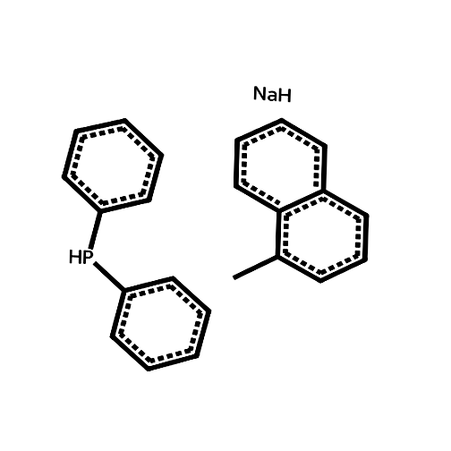 Cc1cccc2ccccc12.[NaH].c1ccc(Pc2ccccc2)cc1